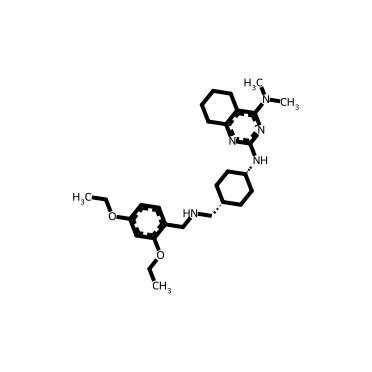 CCOc1ccc(CNC[C@H]2CC[C@@H](Nc3nc4c(c(N(C)C)n3)CCCC4)CC2)c(OCC)c1